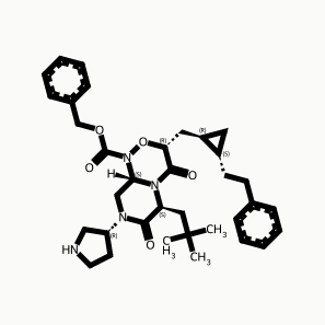 CC(C)(C)C[C@H]1C(=O)N([C@@H]2CCNC2)C[C@@H]2N(C(=O)OCc3ccccc3)O[C@H](C[C@H]3C[C@@H]3CCc3ccccc3)C(=O)N21